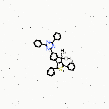 CC1(C)c2cc(-c3nc(-c4ccccc4)nc(-c4ccccc4)n3)ccc2-c2c(-c3ccccc3)sc(-c3ccccc3)c21